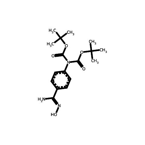 CC(C)(C)OC(=O)N(C(=O)OC(C)(C)C)c1ccc(C(N)=NO)cc1